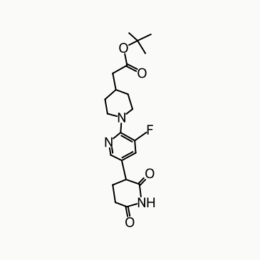 CC(C)(C)OC(=O)CC1CCN(c2ncc(C3CCC(=O)NC3=O)cc2F)CC1